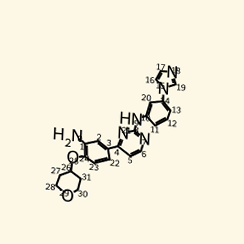 Nc1cc(-c2ccnc(Nc3cccc(-n4ccnc4)c3)n2)ccc1OC1CCOCC1